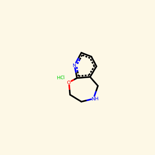 Cl.c1cnc2c(c1)CNCCO2